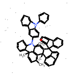 CC1C=CC2(C)C3=C1C1(C)C(=CC3(C)N(c3ccc4c(c3)c3ccccc3n4-c3ccccc3)c3ccccc32)C2(c3ccccc3-c3ccccc32)c2cccc3cccc1c23